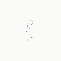 C=C(N/C(=C/C(=C\CC)C1CC1)CC)C(C)/C(=C/N1C=C(C(F)F)C=CC1=C)CC